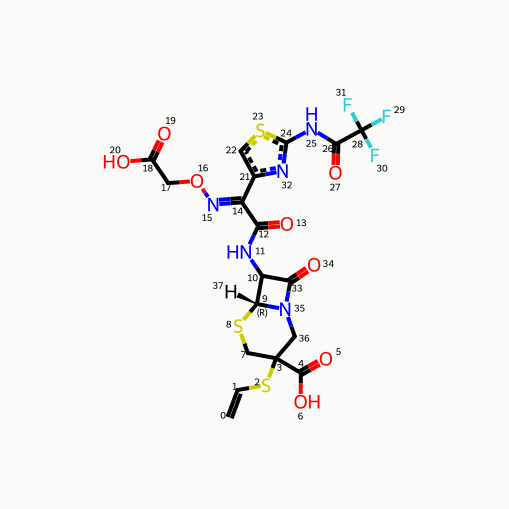 C=CSC1(C(=O)O)CS[C@@H]2C(NC(=O)C(=NOCC(=O)O)c3csc(NC(=O)C(F)(F)F)n3)C(=O)N2C1